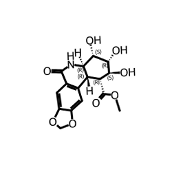 COC(=O)[C@H]1[C@H](O)[C@@H](O)[C@@H](O)[C@@H]2NC(=O)c3cc4c(cc3[C@H]21)OCO4